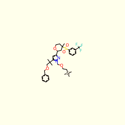 CC(C)(COCc1ccccc1)c1cc(C2CC(C)(S(=O)(=O)c3cccc(C(F)(F)F)c3)CCO2)nn1COCC[Si](C)(C)C